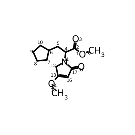 COC(=O)C(CC1CCCC1)N1CC(OC)=CC1=O